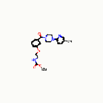 CC(C)(C)OC(=O)NCCOc1cccc(C(=O)N2CCN(c3ccc(C#N)cn3)CC2)c1